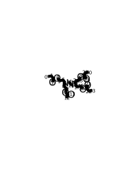 CCC(=O)OCCN(CCOC(C)=O)CCN(CCOC(=O)CC)CCOC(=O)CC